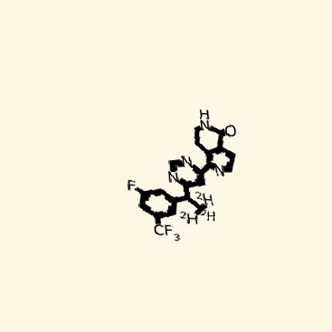 [2H]C([2H])([2H])C(c1cc(F)cc(C(F)(F)F)c1)c1cc(-c2nccc3c2CCNC3=O)ncn1